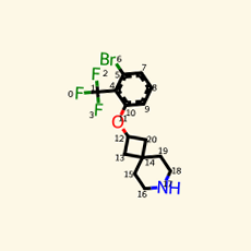 FC(F)(F)c1c(Br)cccc1OC1CC2(CCNCC2)C1